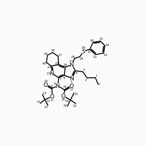 CCCCc1nc2c(N(C(=O)OC(C)(C)C)C(=O)OC(C)(C)C)nc3c(c2n1CCSc1ccccc1)CCCC3